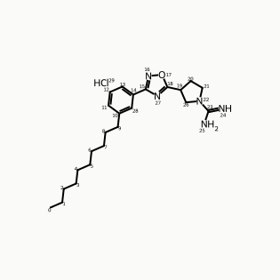 CCCCCCCCCCc1cccc(-c2noc(C3CCN(C(=N)N)C3)n2)c1.Cl